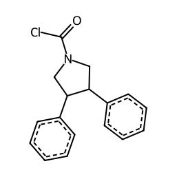 O=C(Cl)N1CC(c2ccccc2)C(c2ccccc2)C1